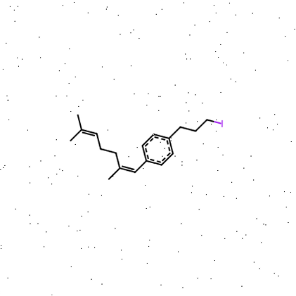 CC(C)=CCCC(C)=Cc1ccc(CCCI)cc1